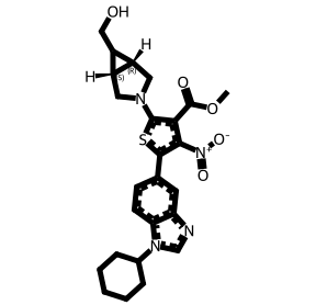 COC(=O)c1c(N2C[C@@H]3C(CO)[C@@H]3C2)sc(-c2ccc3c(c2)ncn3C2CCCCC2)c1[N+](=O)[O-]